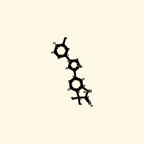 Cc1cc(-n2cnc(-c3ccc4c(c3)NC(=O)C4(C)C)c2)ccn1